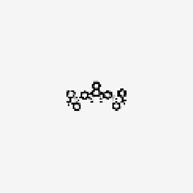 CC1(C)C2=C(CCC=C2)N(c2ccc3c(c2)sc2c4sc5cc(N6c7ccccc7C(C)(C)c7ccccc76)ccc5c4c4ccccc4c32)c2ccccc21